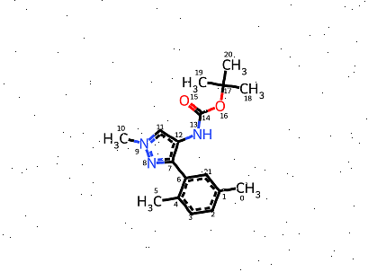 Cc1ccc(C)c(-c2nn(C)cc2NC(=O)OC(C)(C)C)c1